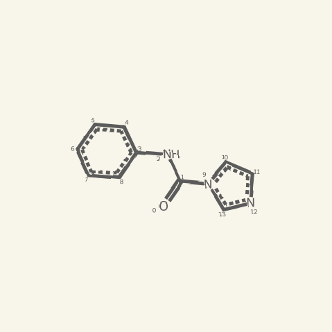 O=C(Nc1ccccc1)n1ccnc1